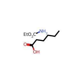 CCCCCC(=O)O.CCOC(N)=O